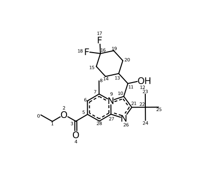 CCOC(=O)c1cc(C)n2c(C(O)C3CCC(F)(F)CC3)c(C(C)(C)C)nc2c1